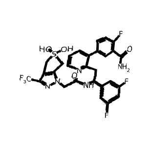 NC(=O)c1cc(-c2cccnc2CC(NC(=O)Cn2nc(C(F)(F)F)c3c2CS(O)(O)C3)c2cc(F)cc(F)c2)ccc1F